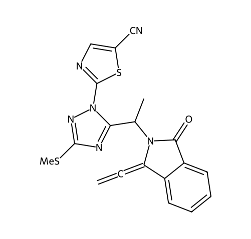 C=C=C1c2ccccc2C(=O)N1C(C)c1nc(SC)nn1-c1ncc(C#N)s1